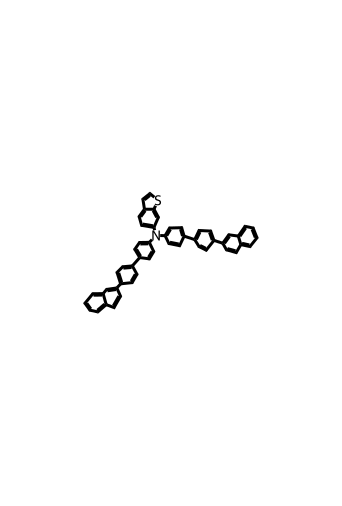 c1ccc2cc(-c3ccc(-c4ccc(N(c5ccc(-c6ccc(-c7ccc8ccccc8c7)cc6)cc5)c5ccc6ccsc6c5)cc4)cc3)ccc2c1